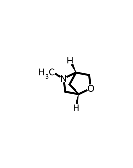 CN1C[C@@H]2C[C@H]1CO2